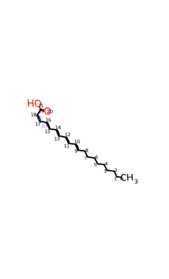 CCCCCCCCCC=CC=CC=C/C=C/C=C\C(=O)O